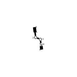 C#COO[Si]#C